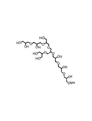 COCC(O)COCC(O)COCC(O)COC(COCC(CO)OCC(O)COCC(O)CO)COC(CO)CO